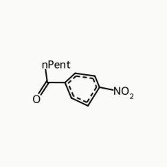 CCCCCC(=O)c1ccc([N+](=O)[O-])cc1